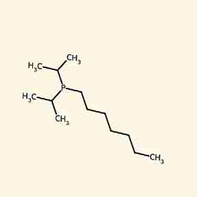 CCCCCCCP(C(C)C)C(C)C